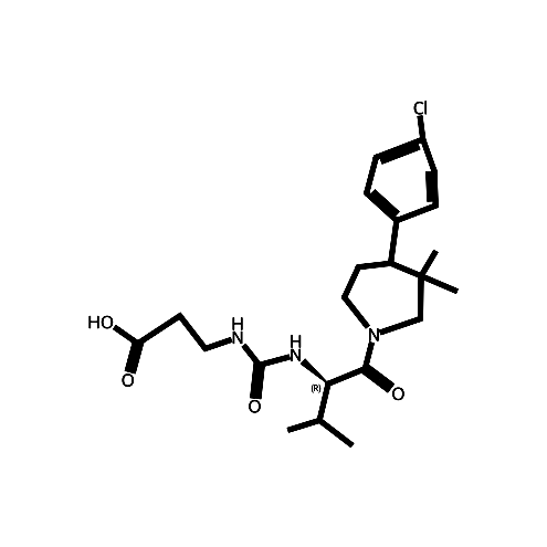 CC(C)[C@@H](NC(=O)NCCC(=O)O)C(=O)N1CCC(c2ccc(Cl)cc2)C(C)(C)C1